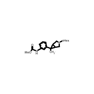 [CH2]C1(c2cccc(NC(=O)OC)c2)C2CN(CCCCCC)CC21